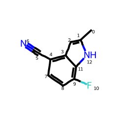 Cc1cc2c(C#N)ccc(F)c2[nH]1